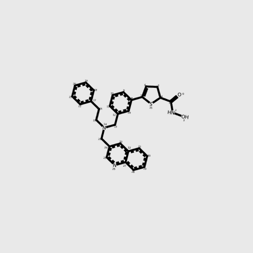 O=C(NO)C1CC=C(c2cccc(CN(CCc3ccccc3)Cc3cnc4ccccc4c3)c2)S1